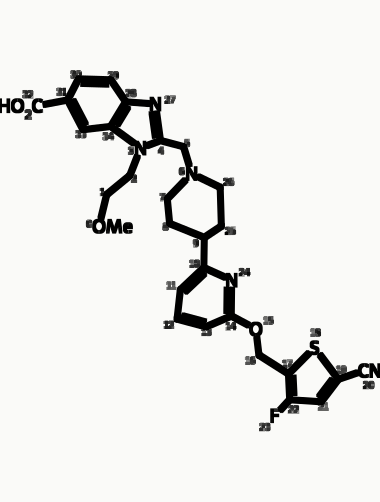 COCCn1c(CN2CCC(c3cccc(OCc4sc(C#N)cc4F)n3)CC2)nc2ccc(C(=O)O)cc21